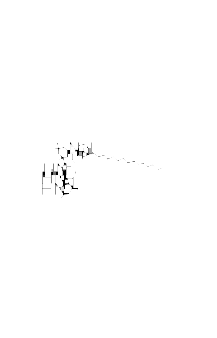 C=C1C=C(C)NC(NC(=O)NCC2(C)CC(NC(=O)OCCCCCCCCCCCCCCCC)CC(C)(C)C2)=N1